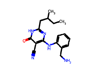 CCC(C)Cc1nc(Nc2ccccc2CN)c(C#N)c(=O)[nH]1